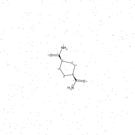 NC(=O)[C@H]1CC[C@@H](C(N)=O)CC1